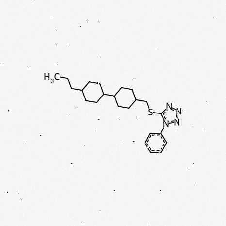 CCCC1CCC(C2CCC(CSc3nnnn3-c3ccccc3)CC2)CC1